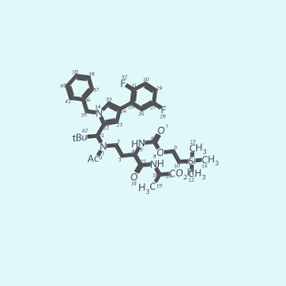 CC(=O)N(CCC(NC(=O)OCC[Si](C)(C)C)C(=O)NC(C)C(=O)O)C(c1cc(-c2cc(F)ccc2F)cn1Cc1ccccc1)C(C)(C)C